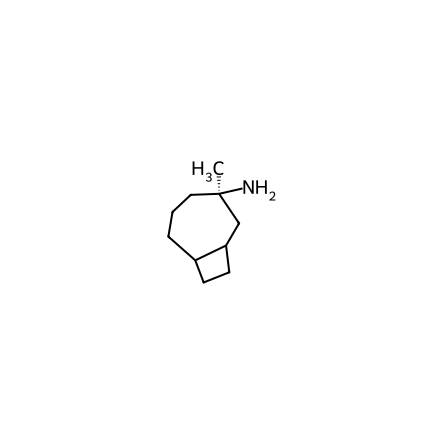 C[C@@]1(N)CCCC2CCC2C1